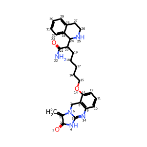 C=c1c(=O)[nH]c2n1Cc1c(cccc1OCCCCCC(C(N)=O)C1NCCc3ccccc31)N=2